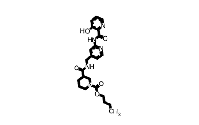 CCCCOC(=O)N1CCCC(C(=O)NCc2ccnc(NC(=O)c3ncccc3O)c2)C1